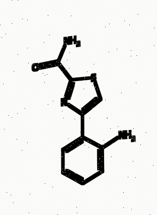 NC(=O)c1nc(-c2ccccc2N)cs1